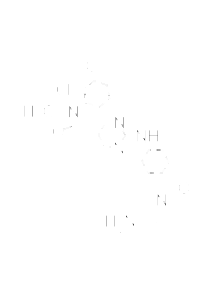 CC(C)N1C(=O)Cc2cnc(Nc3ccc(C(=O)N4CCC(N)C4)cc3)nc2-c2ccc(Cl)cc21